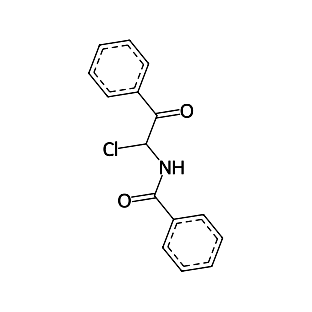 O=C(NC(Cl)C(=O)c1ccccc1)c1ccccc1